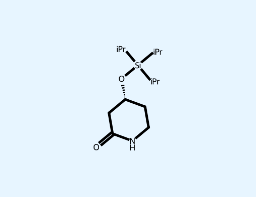 CC(C)[Si](O[C@@H]1CCNC(=O)C1)(C(C)C)C(C)C